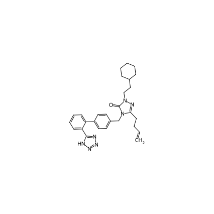 C=CCCc1nn(CCC2CCCCC2)c(=O)n1Cc1ccc(-c2ccccc2-c2nnn[nH]2)cc1